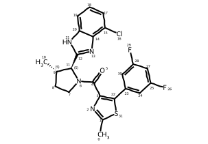 Cc1nc(C(=O)N2CC[C@H](C)[C@H]2c2nc3c(Cl)cccc3[nH]2)c(-c2cc(F)cc(F)c2)s1